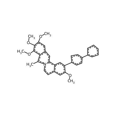 COc1cc2cc[n+]3c(C)c4c(OC)c(OC)c(OC)cc4cc3c2cc1-c1ccc(-c2ccccc2)cc1